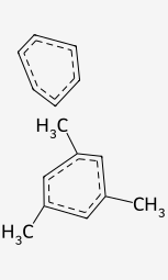 Cc1cc(C)cc(C)c1.c1ccccc1